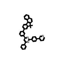 CC1(C)c2cc(-c3cccc(-c4cc(-c5ccccc5)nc(-c5ccc(-c6cccnc6)cc5)n4)c3)ccc2-c2c1ccc1ccccc21